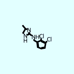 CC1CNC(NCc2cccc(Cl)c2Cl)=N1